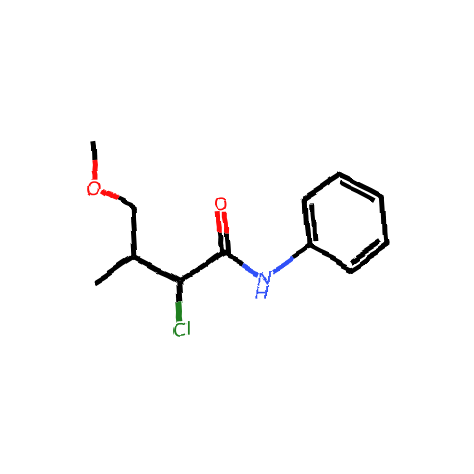 COCC(C)C(Cl)C(=O)Nc1ccccc1